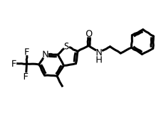 Cc1cc(C(F)(F)F)nc2sc(C(=O)NCCc3ccccc3)cc12